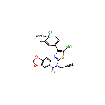 C#CCN(c1nc(C2=CCC(Cl)(OC)C(C)=C2)c(C)s1)[C@@H](CCC)c1ccc2c(c1)OCO2.Cl